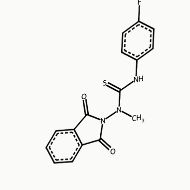 CN(C(=S)Nc1ccc(F)cc1)N1C(=O)c2ccccc2C1=O